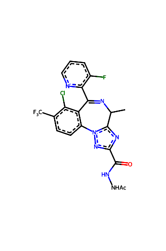 CC(=O)NNC(=O)c1nc2n(n1)-c1ccc(C(F)(F)F)c(Cl)c1C(c1ncccc1F)=NC2C